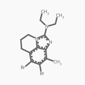 CCN(CC)c1nc2c(C)c(Br)c(Br)c3c2n1CCC3